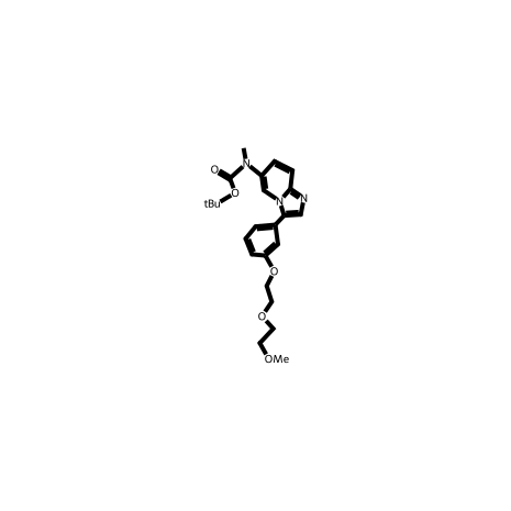 COCCOCCOc1cccc(-c2cnc3ccc(N(C)C(=O)OC(C)(C)C)cn23)c1